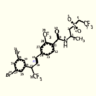 CC(CS(=O)(=O)CC(F)(F)F)NC(=O)c1ccc(/C=C/C(c2cc(Br)cc(Br)c2)C(F)(F)F)cc1C(F)(F)F